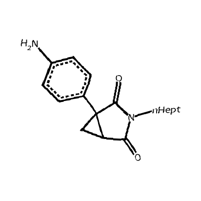 CCCCCCCN1C(=O)C2CC2(c2ccc(N)cc2)C1=O